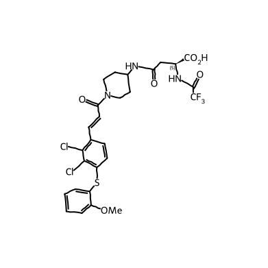 COc1ccccc1Sc1ccc(C=CC(=O)N2CCC(NC(=O)C[C@H](NC(=O)C(F)(F)F)C(=O)O)CC2)c(Cl)c1Cl